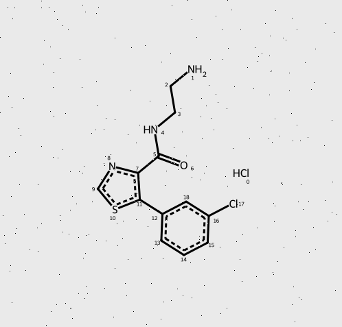 Cl.NCCNC(=O)c1ncsc1-c1cccc(Cl)c1